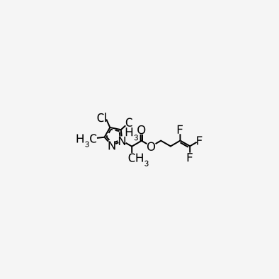 Cc1nn(C(C)C(=O)OCCC(F)=C(F)F)c(C)c1Cl